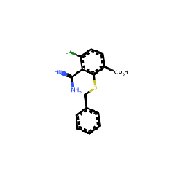 N=C(N)c1c(Cl)ccc(C(=O)O)c1SCc1ccccc1